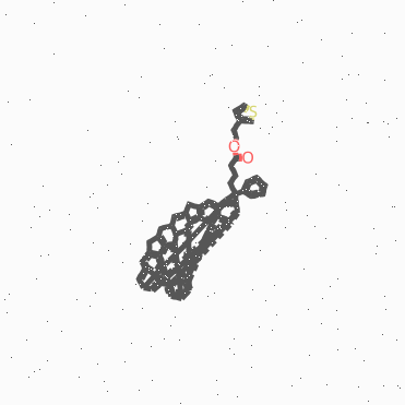 O=C(CCCC1(c2ccccc2)C2c3cc4c5c6c7c8c9c%10c%11c%12c(cc%13c%14c%15c%16c(c%17c3c5c8c%17c%15c9c%12%14)C21CC%16C=%13)CC=%11CC(C=C6C4)C7%10)OCCc1ccsc1